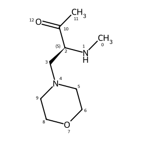 CN[C@@H](CN1CCOCC1)C(C)=O